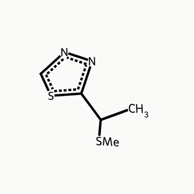 CSC(C)c1nncs1